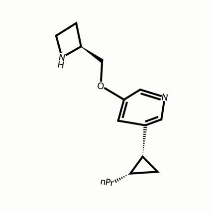 CCC[C@H]1C[C@H]1c1cncc(OC[C@@H]2CCN2)c1